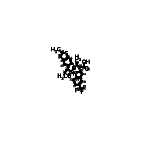 C=CC(c1ccc2sc(C)nc2c1)S(=O)(=O)n1c(C(CC)C(=O)O)cc2cc(C(F)(F)F)ccc21